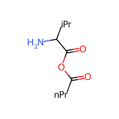 CCCC(=O)OC(=O)C(N)C(C)C